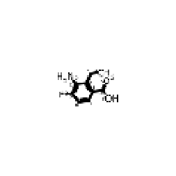 CCc1c(C(=O)O)ccc(F)c1N